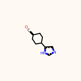 O=C=C1[CH]CC(c2cnc[nH]2)CC1